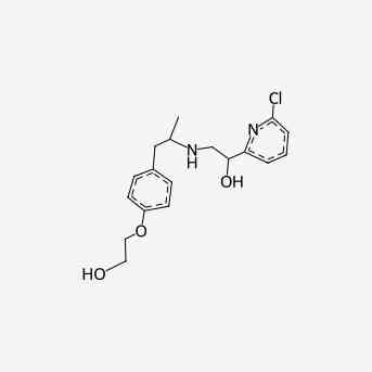 CC(Cc1ccc(OCCO)cc1)NCC(O)c1cccc(Cl)n1